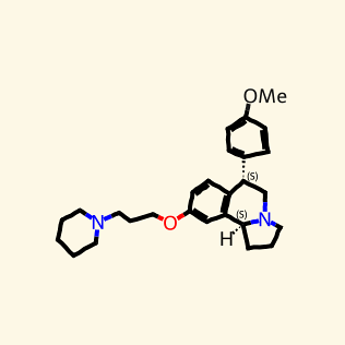 COc1ccc([C@@H]2CN3CCC[C@H]3c3cc(OCCCN4CCCCC4)ccc32)cc1